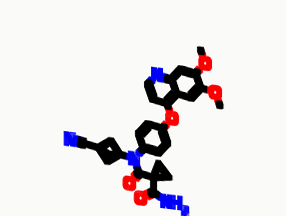 COc1cc2nccc(Oc3ccc(N(C(=O)C4(C(N)=O)CC4)C45CC(C#N)(C4)C5)cc3)c2cc1OC